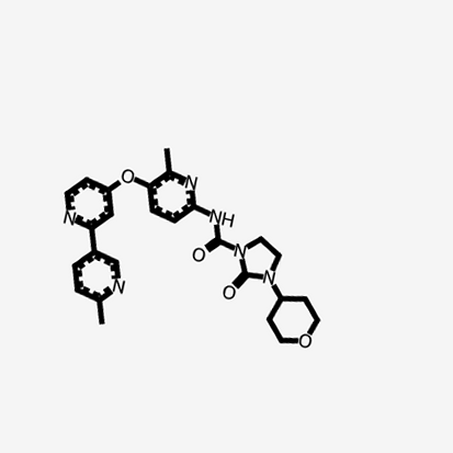 Cc1ccc(-c2cc(Oc3ccc(NC(=O)N4CCN(C5CCOCC5)C4=O)nc3C)ccn2)cn1